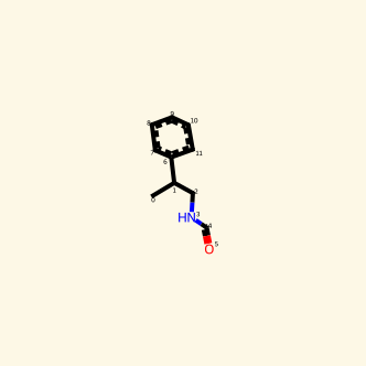 CC(CN[C]=O)c1ccccc1